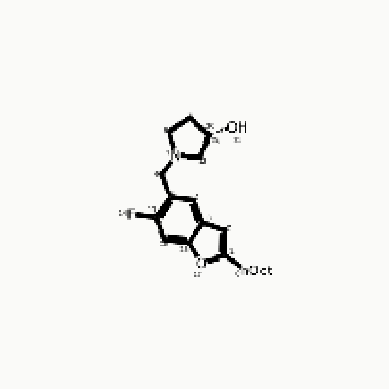 CCCCCCCCc1cc2cc(CN3CC[C@H](O)C3)c(F)cc2o1